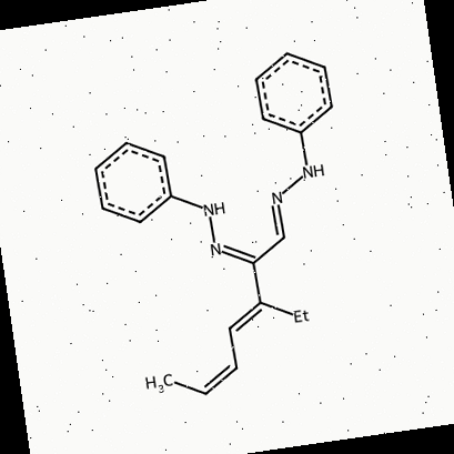 C/C=C\C=C(/CC)C(/C=N/Nc1ccccc1)=NNc1ccccc1